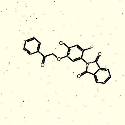 O=C(COc1cc(N2C(=O)c3ccccc3C2=O)c(F)cc1Cl)c1ccccc1